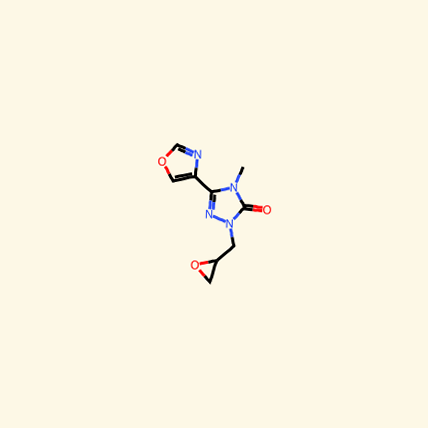 Cn1c(-c2cocn2)nn(CC2CO2)c1=O